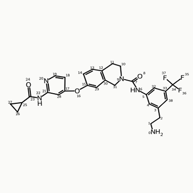 NCCc1cc(NC(=O)N2CCc3ccc(Oc4ccnc(NC(=O)C5CC5)c4)cc3C2)cc(C(F)(F)F)c1